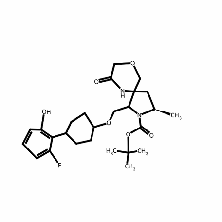 C[C@@H]1CC2(COCC(=O)N2)C(COC2CCC(c3c(O)cccc3F)CC2)N1C(=O)OC(C)(C)C